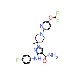 CC1(n2cc(C(N)=O)c(Nc3ccc(F)cc3)n2)CCN(c2ccc(OC(F)F)cn2)CC1